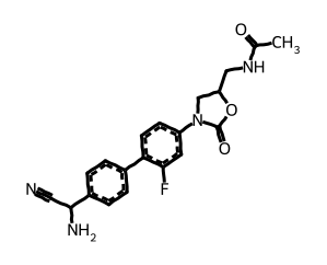 CC(=O)NCC1CN(c2ccc(-c3ccc(C(N)C#N)cc3)c(F)c2)C(=O)O1